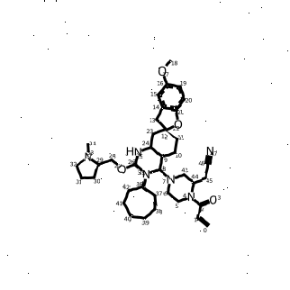 C=CC(=O)N1CCN(C2C3CC[C@]4(Cc5cc(OC)ccc5O4)CC3NC(OCC3CCCN3C)N2C2CCCCCC2)CC1CC#N